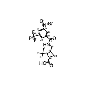 CC(C)(C)C1C(CNC(=O)c2cc([N+](=O)[O-])cc(C(F)(F)F)c2)CN1C(=O)O